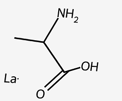 CC(N)C(=O)O.[La]